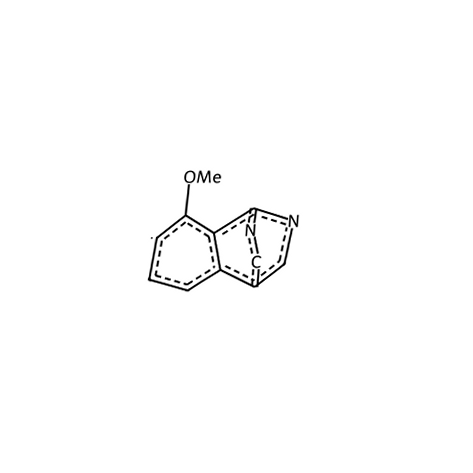 COc1[c]ccc2c3cnc(nc3)c12